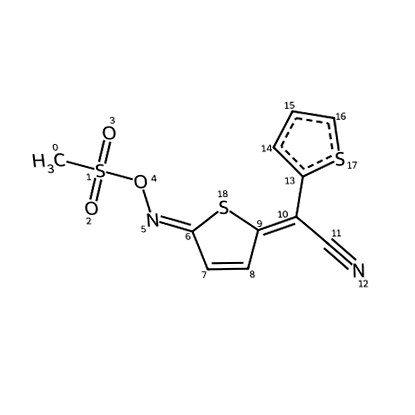 CS(=O)(=O)ON=C1C=CC(=C(C#N)c2cccs2)S1